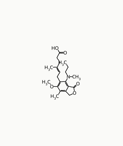 CCCN(C)c1c(C/C=C(\C)CCC(=O)O)c(OC)c(C)c2c1C(=O)OC2